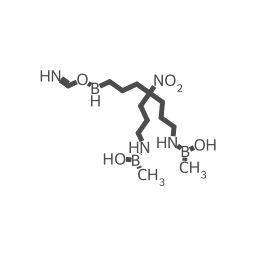 CB(O)NCCCC(CCCBOC=N)(CCCNB(C)O)[N+](=O)[O-]